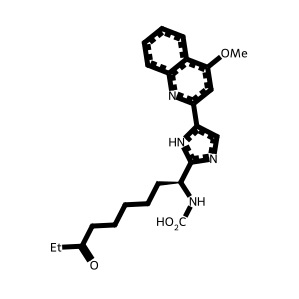 CCC(=O)CCCCC[C@H](NC(=O)O)c1ncc(-c2cc(OC)c3ccccc3n2)[nH]1